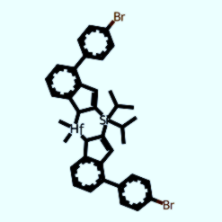 CC(C)[Si]1(C(C)C)C2=Cc3c(-c4ccc(Br)cc4)cccc3[CH]2[Hf]([CH3])([CH3])[CH]2C1=Cc1c(-c3ccc(Br)cc3)cccc12